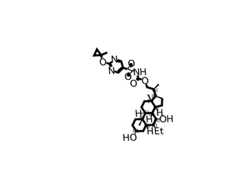 CC[C@H]1[C@@H](O)[C@@H]2[C@H](CC[C@]3(C)[C@@H]([C@H](C)COC(=O)NS(=O)(=O)c4cnc(OC5(C)CC5)nc4)CC[C@@H]23)[C@@]2(C)CC[C@@H](O)C[C@@H]12